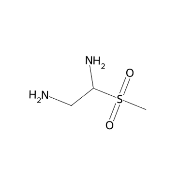 CS(=O)(=O)C(N)CN